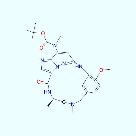 COc1ccc2cc1Nc1cc(N(C)C(=O)OC(C)(C)C)c3ncc(n3n1)C(=O)N[C@H](C)CN(C)C2